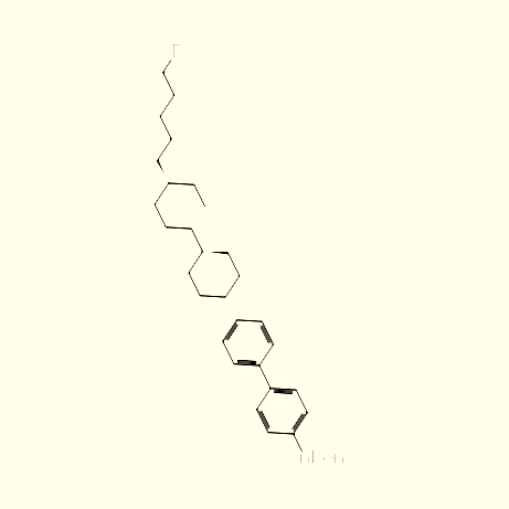 CCCCCc1ccc(-c2ccc([C@H]3CC[C@H]([C@H]4CC[C@H](CCCCCF)CC4)CC3)cc2)cc1